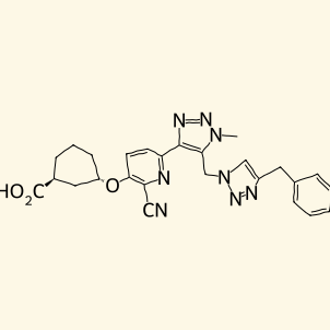 Cn1nnc(-c2ccc(O[C@H]3CCC[C@H](C(=O)O)C3)c(C#N)n2)c1Cn1cc(Cc2ccccc2)nn1